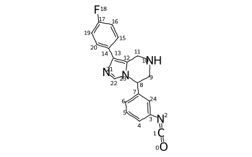 O=C=Nc1cccc(C2CNCc3c(-c4ccc(F)cc4)ncn32)c1